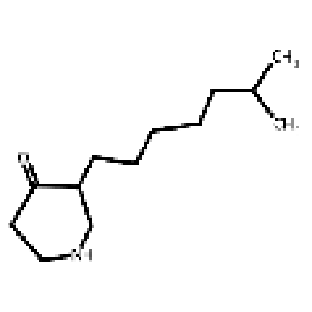 CC(C)CCCCCC1CNCCC1=O